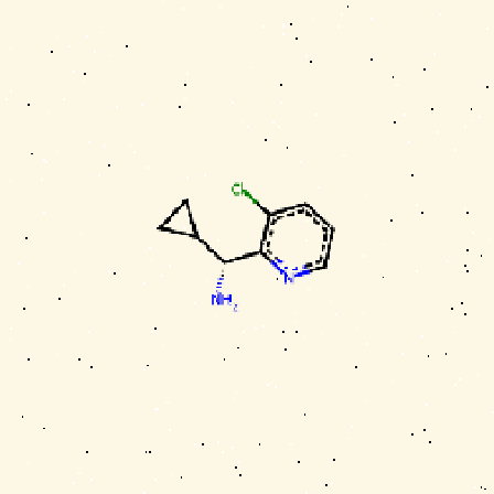 N[C@@H](c1ncccc1Cl)C1CC1